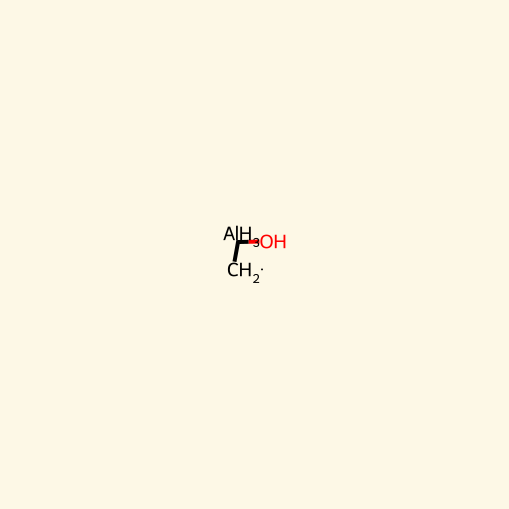 [AlH3].[CH2]CO